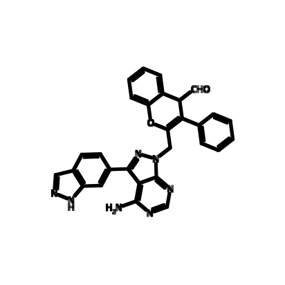 Nc1ncnc2c1c(-c1ccc3cn[nH]c3c1)nn2CC1=C(c2ccccc2)C(C=O)c2ccccc2O1